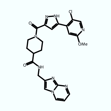 COc1cc(-c2cc(C(=O)N3CCC(C(=O)NCc4cn5cccnc5n4)CC3)n[nH]2)c(Cl)cn1